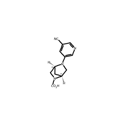 N#Cc1cncc(N2C[C@@H]3C[C@H]2CN3C(=O)O)c1